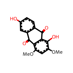 COc1cc(OC)c2c(c1O)C(=O)c1ccc(O)cc1C2=O